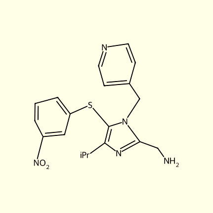 CC(C)c1nc(CN)n(Cc2ccncc2)c1Sc1cccc([N+](=O)[O-])c1